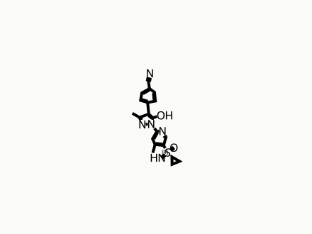 Cc1cc(-n2nc(C)c(-c3ccc(C#N)cc3)c2O)ncc1[S@](=N)(=O)C1CC1